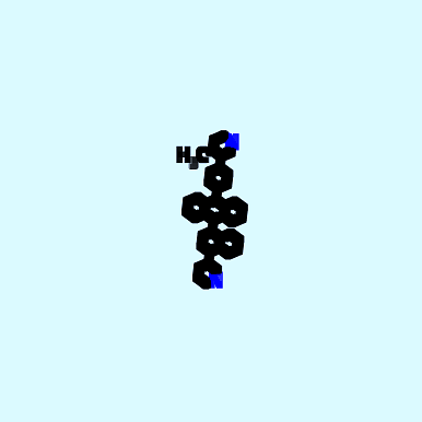 Cc1ccncc1-c1ccc(-c2c3ccccc3c(-c3ccc(-c4cccnc4)c4ccccc34)c3ccccc23)cc1